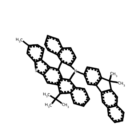 Cc1ccc2c(c1)sc1cccc(-c3c(N(c4ccc5c(c4)-c4cc6ccccc6cc4C5(C)C)c4ccc(C(C)(C)C)c5ccccc45)ccc4ccccc34)c12